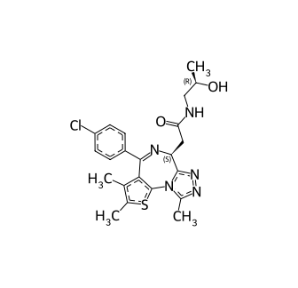 Cc1sc2c(c1C)C(c1ccc(Cl)cc1)=N[C@@H](CC(=O)NC[C@@H](C)O)c1nnc(C)n1-2